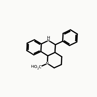 O=C(O)N1CCCC2C(c3ccccc3)Nc3ccccc3C21